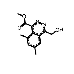 COC(=O)c1nnc(CO)c2cc(C)cc(C)c12